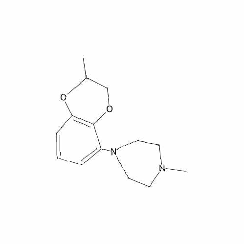 CC1COc2c(cccc2N2CCN(C)CC2)O1